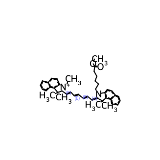 CC[N+]1=C(/C=C/C=C/C=C/C=C2\N(CCCCCC(=O)OC)c3ccc4ccccc4c3C2(C)C)C(C)(C)c2c1ccc1ccccc21